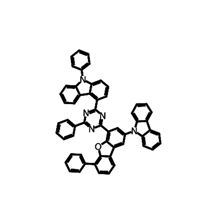 c1ccc(-c2nc(-c3cc(-n4c5ccccc5c5ccccc54)cc4c3oc3c(-c5ccccc5)cccc34)nc(-c3cccc4c3c3ccccc3n4-c3ccccc3)n2)cc1